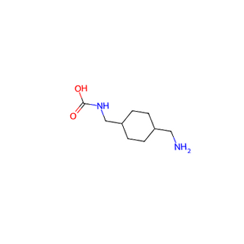 NCC1CCC(CNC(=O)O)CC1